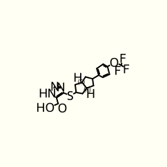 O=C(O)c1[nH]nnc1SC1C[C@@H]2CC(c3ccc(OC(F)(F)F)cc3)C[C@@H]2C1